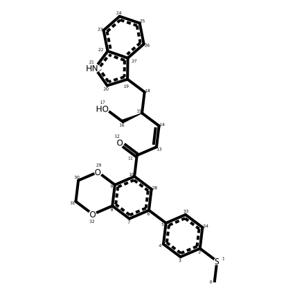 CSc1ccc(-c2cc3c(c(C(=O)/C=C\[C@@H](CO)Cc4c[nH]c5ccccc45)c2)OCCO3)cc1